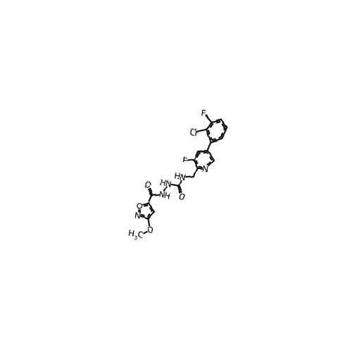 COc1cc(C(=O)NNC(=O)NCc2ncc(-c3cccc(F)c3Cl)cc2F)on1